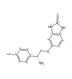 N[C@@H](COc1ccc2[nH]c(=O)[nH]c2c1)c1ccc(F)cc1